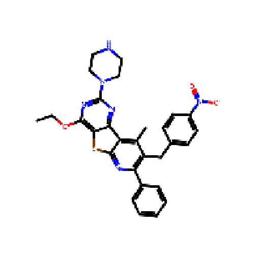 CCOc1nc(N2CCNCC2)nc2c1sc1nc(-c3ccccc3)c(Cc3ccc([N+](=O)[O-])cc3)c(C)c12